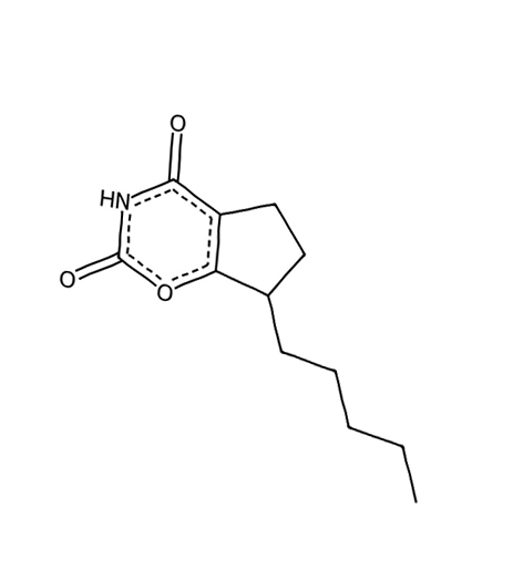 CCCCCC1CCc2c1oc(=O)[nH]c2=O